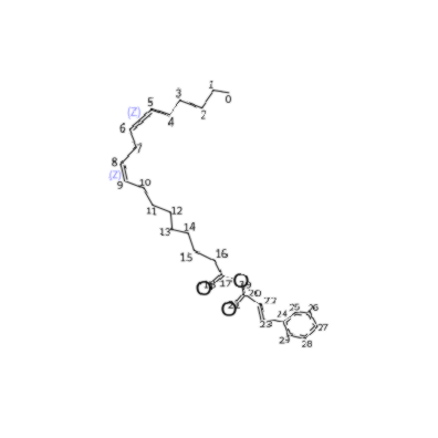 CCCCC/C=C\C/C=C\CCCCCCCC(=O)OC(=O)C=Cc1ccccc1